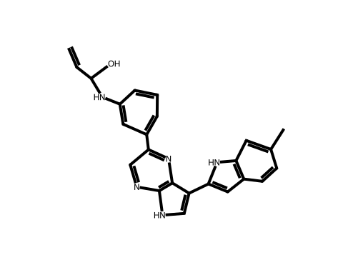 C=CC(O)Nc1cccc(-c2cnc3[nH]cc(-c4cc5ccc(C)cc5[nH]4)c3n2)c1